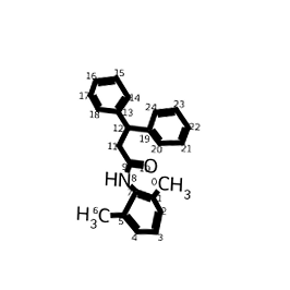 Cc1cccc(C)c1NC(=O)CC(c1ccccc1)c1ccccc1